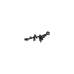 CCOP(=O)(CC(CC(C)C(=O)NCCOCCO)SCCC(=O)OCc1ccccc1)OCC